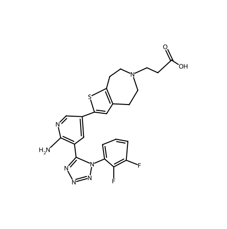 Nc1ncc(-c2cc3c(s2)CCN(CCC(=O)O)CC3)cc1-c1nnnn1-c1cccc(F)c1F